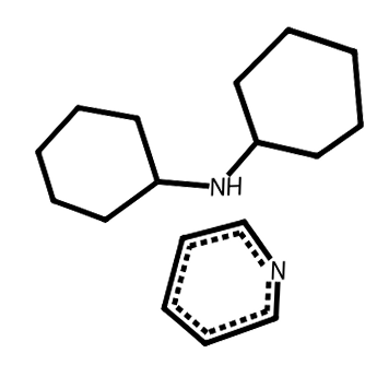 C1CCC(NC2CCCCC2)CC1.c1ccncc1